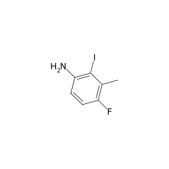 Cc1c(F)ccc(N)c1I